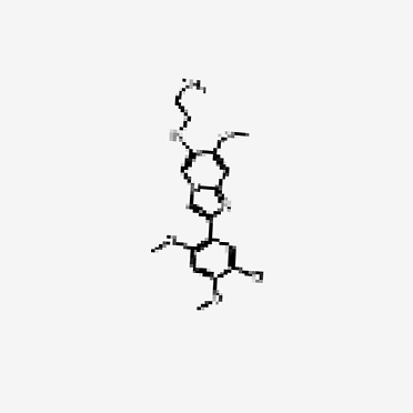 COc1cc(OC)c(-c2cn3cc(NCCN)c(OC)cc3n2)cc1Cl